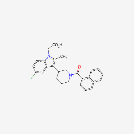 Cc1c(C2CCCN(C(=O)c3cccc4ccccc34)C2)c2cc(F)ccc2n1CC(=O)O